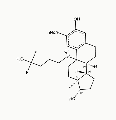 CCCCCCCCCc1cc2c(cc1O)CC[C@H]1[C@@H]3CC[C@H](O)[C@@]3(C)CCC21[S+]([O-])CCCC(F)(F)C(F)(F)F